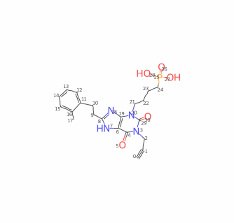 C#CCn1c(=O)c2[nH]c(CCc3ccccc3C)nc2n(CCCCP(=O)(O)O)c1=O